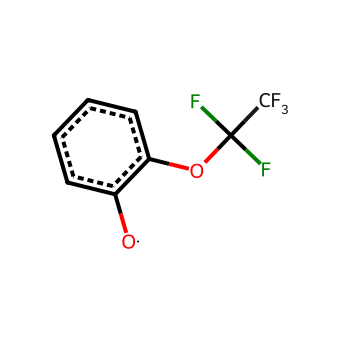 [O]c1ccccc1OC(F)(F)C(F)(F)F